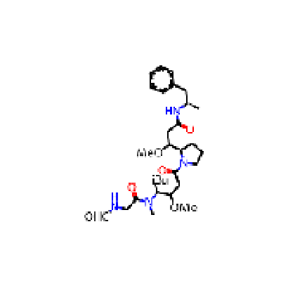 CCC(C)C(C(CC(=O)N1CCCC1C(CC(=O)N[C@H](C)Cc1ccccc1)OC)OC)N(C)C(=O)CNC=O